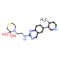 Cc1ccncc1-c1ccc2nc(NCCN3CCSCC3(O)O)ncc2c1